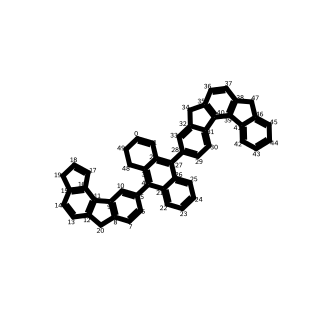 C1=Cc2c(c(-c3ccc4c(c3)-c3c(ccc5c3C=CC5)C4)c3ccccc3c2-c2ccc3c(c2)Cc2ccc4c(c2-3)-c2ccccc2C4)CC1